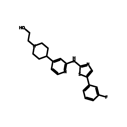 OCCN1CCC(c2ccnc(Nc3ncc(-c4cccc(F)c4)s3)c2)CC1